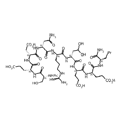 CC(=O)N[C@H](CO)C(=O)N[C@H](CCC(=O)O)C(=O)N[C@H](CC(=O)O)C(=O)N[C@H](CC(N)=O)C(=O)N[C@H](CCCNC(=N)N)C(=O)N[C@H](CC(O)O)C(=O)N[C@H](CCC(=O)O)C(=O)N[C@H](CCC(=O)O)C(=O)N[C@H](CC(C)C)C(N)=O